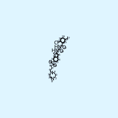 CN1CCCN(CCCS(=O)(=O)c2ccc3cc(NC(=O)NC(=O)c4cc(I)ccc4Cl)sc3c2)CC1